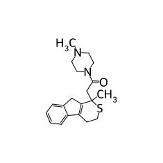 CN1CCN(C(=O)CC2(C)SCCC3=C2Cc2ccccc23)CC1